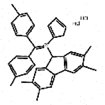 Cc1ccc([C](c2ccc(C)cc2)=[Zr]([C]2=CC=CC2)[CH]2c3cc(C)c(C)cc3-c3cc(C)c(C)cc32)cc1.Cl.Cl